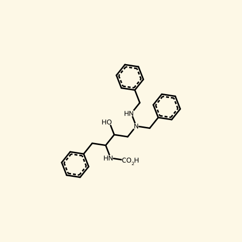 O=C(O)NC(Cc1ccccc1)C(O)CN(Cc1ccccc1)NCc1ccccc1